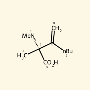 C=C(CCCC)[C@@](C)(NC)C(=O)O